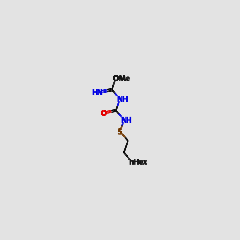 CCCCCCCCSNC(=O)NC(=N)OC